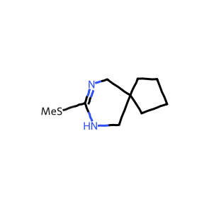 CSC1=NCC2(CCCC2)CN1